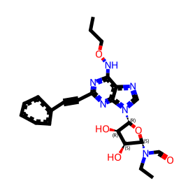 CCCONc1nc(C#Cc2ccccc2)nc2c1ncn2[C@@H]1O[C@H](N(C=O)CC)[C@@H](O)[C@H]1O